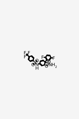 NS(=O)(=O)C1(c2cc(F)ccc2F)C=CC(NS(=O)(=O)c2ccc(C(F)(F)F)cc2)=CC1